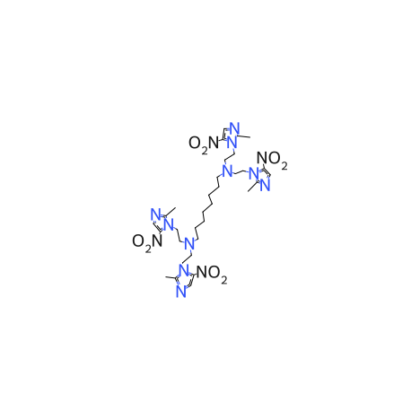 Cc1ncc([N+](=O)[O-])n1CCN(CCCCCCCCN(CCn1c([N+](=O)[O-])cnc1C)CCn1c([N+](=O)[O-])cnc1C)CCn1c([N+](=O)[O-])cnc1C